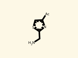 CC(=O)c1csc(CN)n1